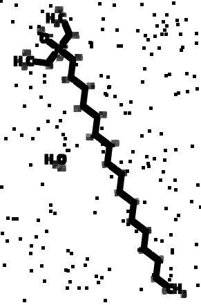 CCCCCCCCCCCCCCCCC[N+]([O-])(CC)CC.O